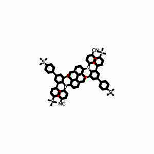 [C-]#[N+]c1ccc(N(c2c(F)cc(-c3ccc([Si](C)(C)C)cc3)cc2-c2ccc([Si](C)(C)C)cc2)c2ccc3ccc4c(N(c5ccc(C#N)cc5)c5c(F)cc(-c6ccc([Si](C)(C)C)cc6)cc5-c5ccc([Si](C)(C)C)cc5)ccc5ccc2c3c54)cc1